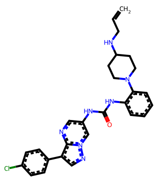 C=CCNC1CCN(c2ccccc2NC(=O)Nc2cnc3c(-c4ccc(Cl)cc4)cnn3c2)CC1